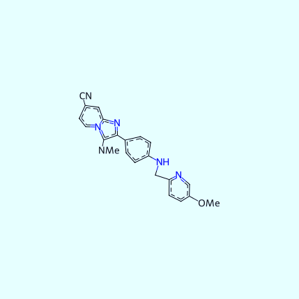 CNc1c(-c2ccc(NCc3ccc(OC)cn3)cc2)nc2cc(C#N)ccn12